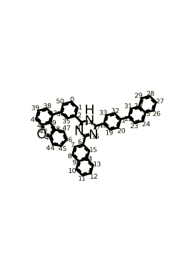 c1cc(C2=NC(c3ccc4ccccc4c3)=NC(c3ccc(-c4ccc5ccccc5c4)cc3)N2)cc(-c2cccc3oc4ccccc4c23)c1